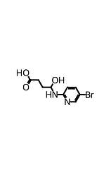 O=C(O)CCC(O)Nc1ccc(Br)cn1